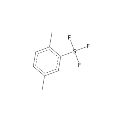 Cc1ccc(C)c(S(F)(F)F)c1